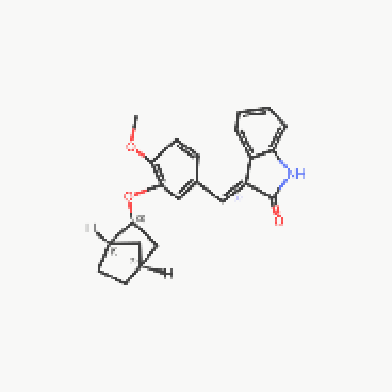 COc1ccc(/C=C2/C(=O)Nc3ccccc32)cc1O[C@H]1C[C@@H]2CC[C@H]1C2